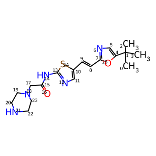 CC(C)(C)c1cnc(/C=C/c2cnc(NC(=O)CN3CCNCC3)s2)o1